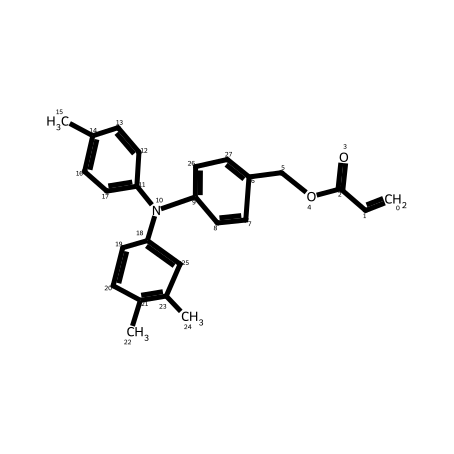 C=CC(=O)OCc1ccc(N(c2ccc(C)cc2)c2ccc(C)c(C)c2)cc1